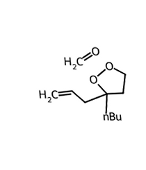 C=CCC1(CCCC)CCOO1.C=O